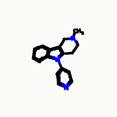 CN1CCc2c(c3ccccc3n2-c2ccncc2)C1